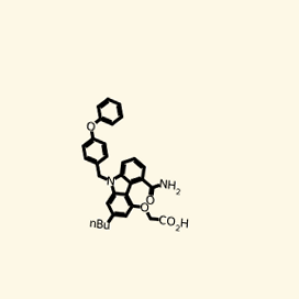 CCCCc1cc(OCC(=O)O)c2c3c(C(N)=O)cccc3n(Cc3ccc(Oc4ccccc4)cc3)c2c1